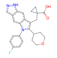 O=C(O)C1(Cc2c(C3CCOCC3)n(-c3ccc(F)cc3)c3cc4cn[nH]c4cc23)CC1